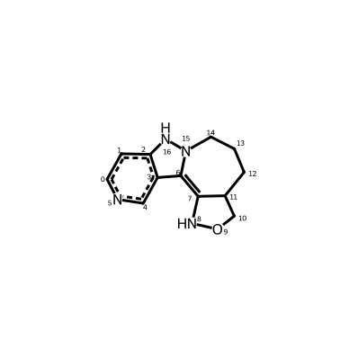 c1cc2c(cn1)C1=C3NOCC3CCCN1N2